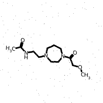 COCC(=O)N1CCCN(CCNC(C)=O)CC1